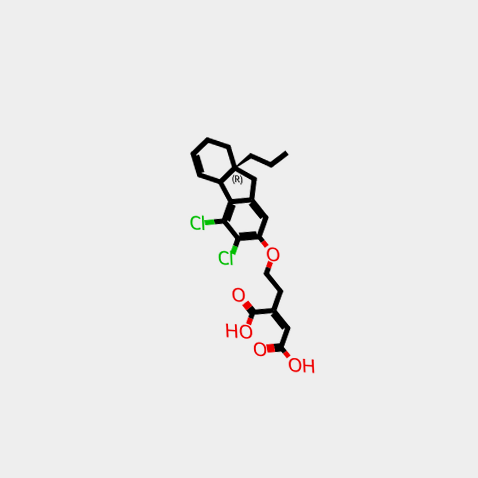 CCC[C@]12CCC=CC1c1c(cc(OCCC(=CC(=O)O)C(=O)O)c(Cl)c1Cl)C2